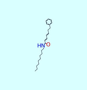 CCCCCCCCCCNC(=O)/C=C/C=CCCc1ccccc1